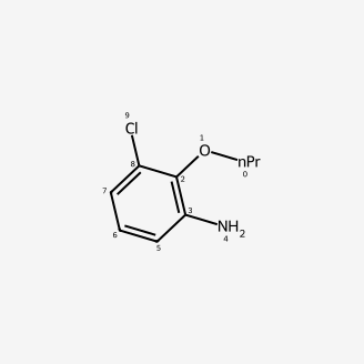 CCCOc1c(N)cccc1Cl